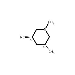 C[C@@H]1C[C@@H](C#N)CN(C)C1